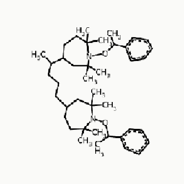 CC(ON1C(C)(C)CCC(CCCC(C)C2CCC(C)(C)N(OC(C)c3ccccc3)C(C)(C)C2)CC1(C)C)c1ccccc1